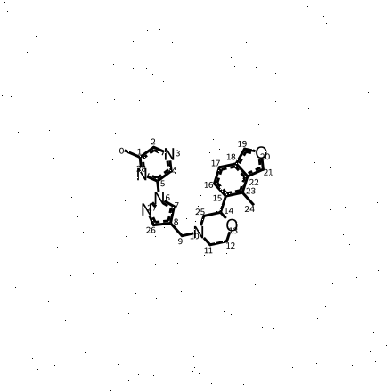 Cc1cncc(-n2cc(CN3CCOC(c4ccc5cocc5c4C)C3)cn2)n1